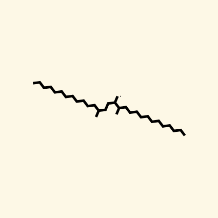 [CH2]C(CCC(C)CCCCCCCCCCCC)C(C)CCCCCCCCCCCC